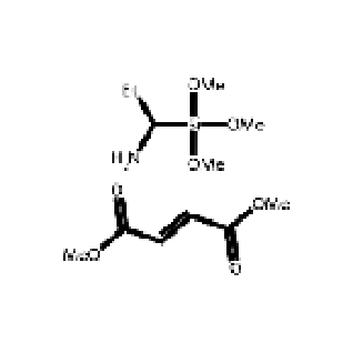 CCC(N)[Si](OC)(OC)OC.COC(=O)C=CC(=O)OC